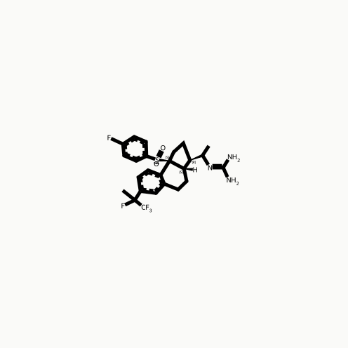 CC(N=C(N)N)[C@@H]1CC[C@@]2(S(=O)(=O)c3ccc(F)cc3)c3ccc(C(C)(F)C(F)(F)F)cc3CC[C@@H]12